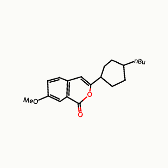 CCCCC1CCC(c2cc3ccc(OC)cc3c(=O)o2)CC1